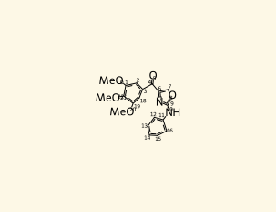 COc1cc(C(=O)c2coc(Nc3ccccc3)n2)cc(OC)c1OC